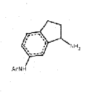 CC(=O)Nc1ccc2c(c1)C(N)CC2